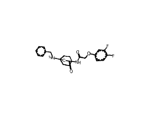 O=C(COc1ccc(F)c(F)c1)NC12CCC(NCc3ccccc3)(CC1)CC2=O